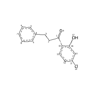 O=C(CCc1ccccc1)c1ccc(Cl)cc1O